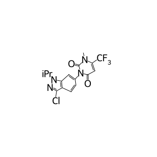 CC(C)n1nc(Cl)c2ccc(-n3c(=O)cc(C(F)(F)F)n(C)c3=O)cc21